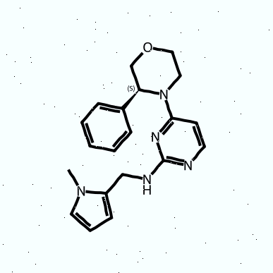 Cn1cccc1CNc1nccc(N2CCOC[C@@H]2c2ccccc2)n1